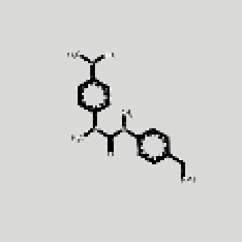 CNCc1ccc(N(C)C(=O)N(C)c2ccc(N(C)C)cc2)cc1